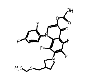 CCSCC1CCN(c2c(F)c(F)c3c(=O)c(OC(=O)O)cn(-c4ccc(F)cc4F)c3c2F)C1